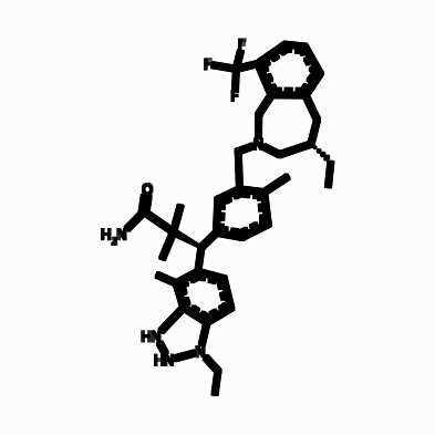 CC[C@H]1Cc2cccc(C(F)(F)F)c2CN(Cc2cc([C@@H](c3ccc4c(c3C)NNN4CC)C(C)(C)C(N)=O)ccc2C)C1